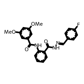 COc1cc(OC)cc(C(=O)Nc2ccccc2C(=O)N/N=C/c2ccc(F)cc2)c1